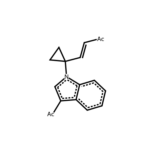 CC(=O)/C=C/C1(n2cc(C(C)=O)c3ccccc32)CC1